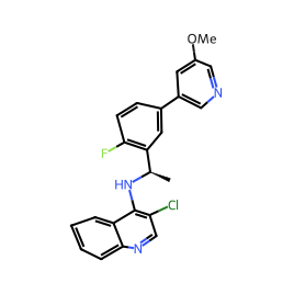 COc1cncc(-c2ccc(F)c([C@@H](C)Nc3c(Cl)cnc4ccccc34)c2)c1